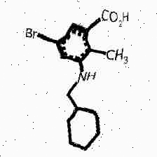 Cc1c(NCC2CCCCC2)cc(Br)cc1C(=O)O